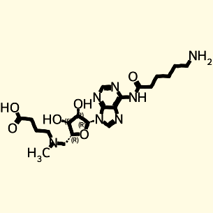 CN(CCCC(=O)O)C[C@H]1O[C@@H](n2cnc3c(NC(=O)CCCCCN)ncnc32)[C@H](O)[C@@H]1O